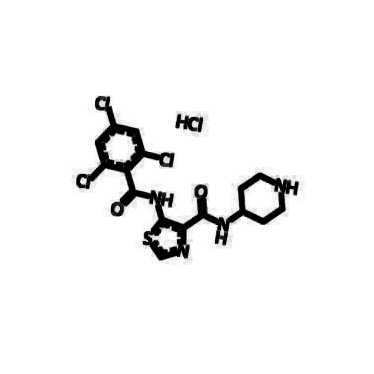 Cl.O=C(NC1CCNCC1)c1ncsc1NC(=O)c1c(Cl)cc(Cl)cc1Cl